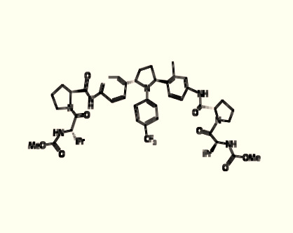 C=C(/C=C\C(=C/C)[C@@H]1CC[C@@H](c2ccc(NC(=O)[C@@H]3CCCN3C(=O)[C@@H](NC(=O)OC)C(C)C)cc2C)N1c1ccc(C(F)(F)F)cc1)NC(=O)[C@@H]1CCCN1C(=O)[C@@H](NC(=O)OC)C(C)C